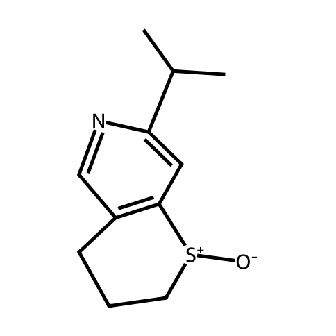 CC(C)c1cc2c(cn1)CCC[S+]2[O-]